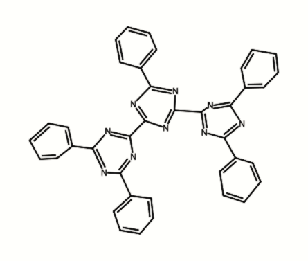 c1ccc(-c2nc(-c3ccccc3)nc(-c3nc(-c4ccccc4)nc(-c4nc(-c5ccccc5)nc(-c5ccccc5)n4)n3)n2)cc1